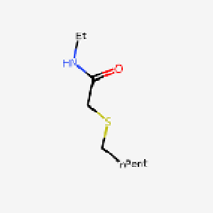 CCCCCCSCC(=O)NCC